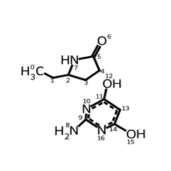 CCC1CCC(=O)N1.Nc1nc(O)cc(O)n1